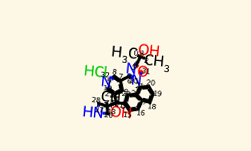 CC(C)(O)c1nc(-c2cncc([C@@](O)(c3ccc4ccccc4c3)C3(C)CNC3)c2)no1.Cl